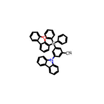 N#Cc1cc(-n2c3ccccc3c3ccccc32)cc([Si](c2ccccc2)(c2ccccc2)c2cccc3c2oc2ccccc23)c1